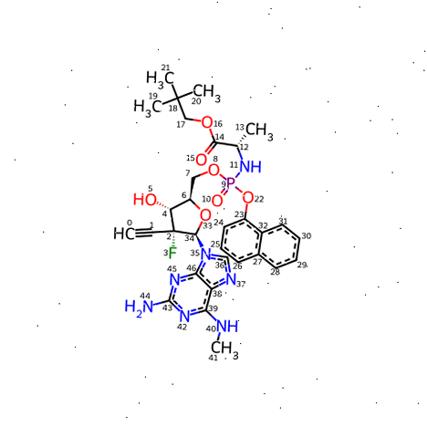 C#C[C@@]1(F)[C@H](O)[C@@H](COP(=O)(N[C@@H](C)C(=O)OCC(C)(C)C)Oc2cccc3ccccc23)O[C@H]1n1cnc2c(NC)nc(N)nc21